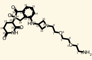 NCCOCCOCCN1CC(Nc2cccc3c2C[N+]([O-])(C2CCC(=O)NC2=O)C3=O)C1